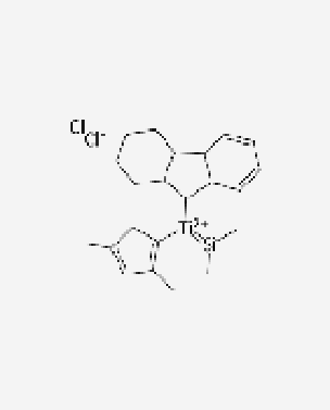 CC1=CC(C)=[C]([Ti+2]([CH]2C3C=CC=CC3C3CCCCC32)=[Si](C)C)C1.[Cl-].[Cl-]